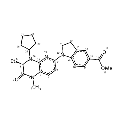 CC[C@@H]1C(=O)N(C)c2ccc(N3CCc4cc(C(=O)OC)ccc43)nc2N1C1CCCC1